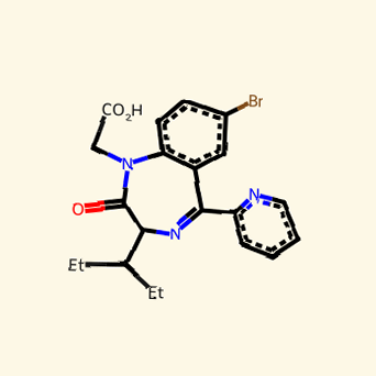 CCC(CC)C1N=C(c2ccccn2)c2cc(Br)ccc2N(CC(=O)O)C1=O